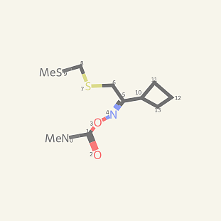 CNC(=O)ON=C(CSCSC)C1CCC1